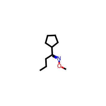 CCCC(=NOC)C1CCCC1